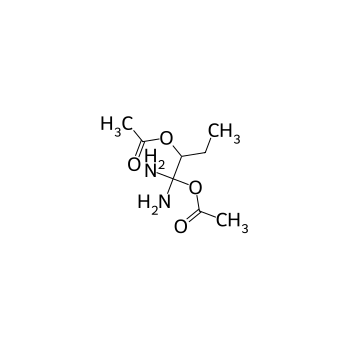 CCC(OC(C)=O)C(N)(N)OC(C)=O